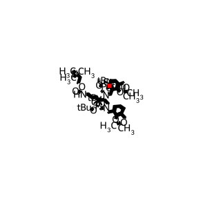 CC(C)(C)OP(=O)(CN(Cc1cccc2c1OC(C)(C)OC2)CC(CCCCNC(=O)OCC[Si](C)(C)C)N(Cc1cccc2c1OC(C)(C)OC2)CP(=O)(OC(C)(C)C)OC(C)(C)C)OC(C)(C)C